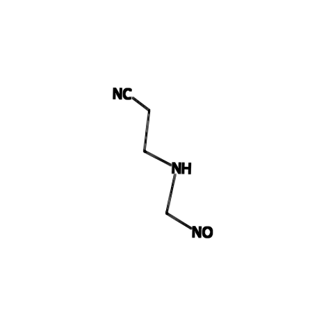 N#CCCNCN=O